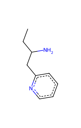 CCC(N)Cc1ccccn1